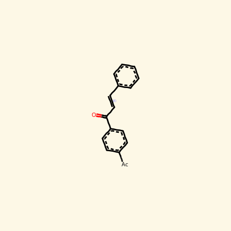 CC(=O)c1ccc(C(=O)/C=C/c2ccccc2)cc1